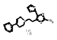 Cl.Cl.Nc1nc(-c2cccs2)c(CCN2CC=C(c3ccccc3)CC2)s1